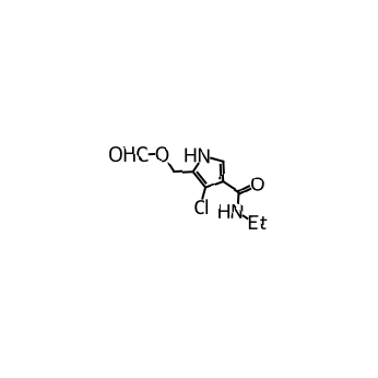 CCNC(=O)c1c[nH]c(COC=O)c1Cl